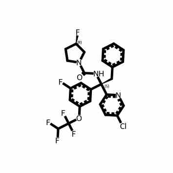 O=C(N[C@@](Cc1ccccc1)(c1cc(F)cc(OC(F)(F)C(F)F)c1)c1ccc(Cl)cn1)N1CC[C@@H](F)C1